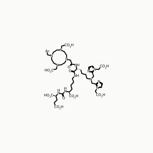 CC(=O)CN1CCN(CC(=O)O)CCN(CC(=O)N[C@H](CCCCN(Cc2nccn2CC(=O)O)Cc2nccn2CC(=O)O)C(=O)NCCCC[C@H](NC(=O)N[C@@H](CCC(=O)O)C(=O)O)C(=O)O)CCN(CC(=O)O)CC1